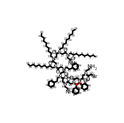 CCCCCCCCCCN(CC(N)=O)C(=O)CN(CCCCCCCCCC)C(=O)CN(CCCCCCCCCC)C(=O)CN(CCCCCCCCCC)C(=O)CN(CCc1ccccc1)C(=O)CN(CCc1ccccc1)C(=O)CN(CCN)C(=O)CN(CCc1ccccc1)C(=O)CN(CCc1ccccc1)C(=O)CN(CCN)C(=O)CBr